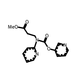 COC(=O)CCN(C(=O)Oc1cccnc1)c1ccccn1